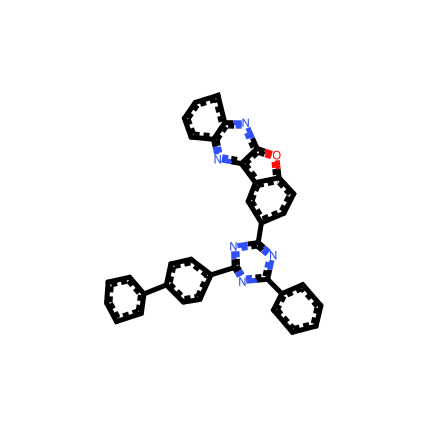 c1ccc(-c2ccc(-c3nc(-c4ccccc4)nc(-c4ccc5oc6nc7ccccc7nc6c5c4)n3)cc2)cc1